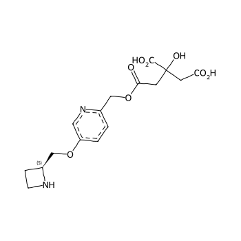 O=C(O)CC(O)(CC(=O)OCc1ccc(OC[C@@H]2CCN2)cn1)C(=O)O